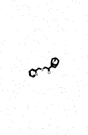 O=C(CSCc1ccccn1)C12CC3CC(CC1C3)C2